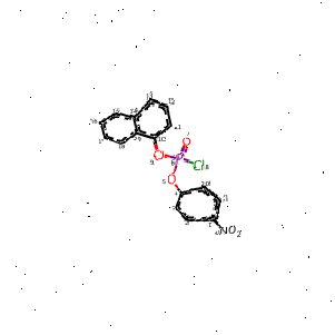 O=[N+]([O-])c1ccc(OP(=O)(Cl)Oc2cccc3ccccc23)cc1